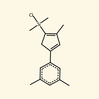 CC1=C([Si](C)(C)Cl)CC(c2cc(C)cc(C)c2)=C1